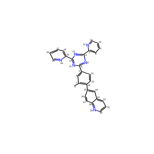 Cc1cc(-c2nc(-c3ccccn3)nc(-c3ccccn3)n2)ccc1-c1ccc2ncccc2c1